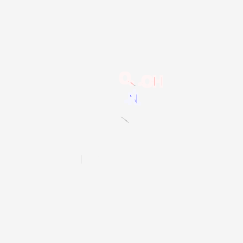 CCCCC1=CCN(C(=O)O)CC1